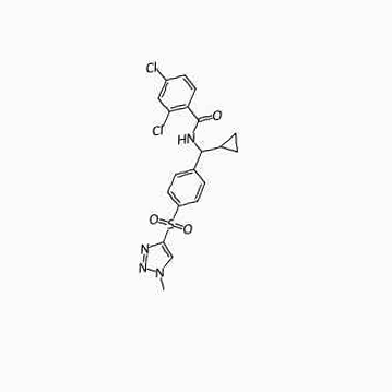 Cn1cc(S(=O)(=O)c2ccc(C(NC(=O)c3ccc(Cl)cc3Cl)C3CC3)cc2)nn1